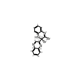 BrC1=Nc2ccccc2NC1(Br)c1cnc2ccccc2n1